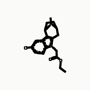 CCOC(=O)Cn1c2c(c3cc(Cl)ccc31)C1CCC(C2)N1C